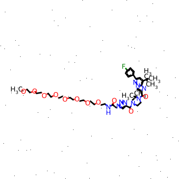 COCCOCCOCCOCCOCCOCCOCCOCCNC(=O)Cn1cc(C(=O)N2CCN(C(=O)c3cn4nc(-c5ccc(F)cc5)cc(C(C)(C)C)c4n3)C(C)(C)C2)nn1